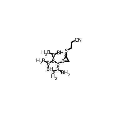 BB(B)B(B(B)B)B(B(B)B)B1CC1SCCC#N